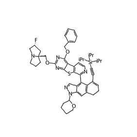 CC(C)[Si](C#CC1=CCCc2cc3c(cnn3C3CCCCO3)c(-c3nccc4c3sc3nc(OC[C@@]56CCCN5C[C@H](F)C6)nc(OCc5ccccc5)c34)c21)(C(C)C)C(C)C